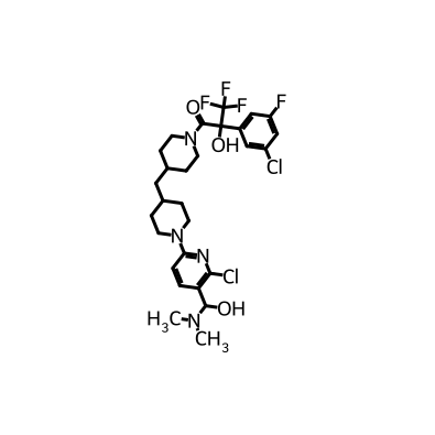 CN(C)C(O)c1ccc(N2CCC(CC3CCN(C(=O)C(O)(c4cc(F)cc(Cl)c4)C(F)(F)F)CC3)CC2)nc1Cl